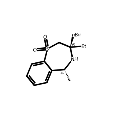 CCCC[C@]1(CC)CS(=O)(=O)c2ccccc2[C@@H](C)N1